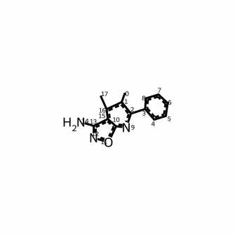 Cc1c(-c2ccccc2)nc2onc(N)c2c1C